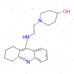 OC1CCN(CCNc2c3c(nc4ccccc24)CCCC3)CC1